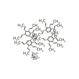 CC=Cc1cc(S(c2cc(C=CC)c(C=CC)c(C=CC)c2C=CC)=P([O-])([O-])[S-])c(C=CC)c(C=CC)c1C=CC.CC=Cc1cc(S(c2cc(C=CC)c(C=CC)c(C=CC)c2C=CC)=P([O-])([O-])[S-])c(C=CC)c(C=CC)c1C=CC.[Zn+2].[Zn+2].[Zn+2]